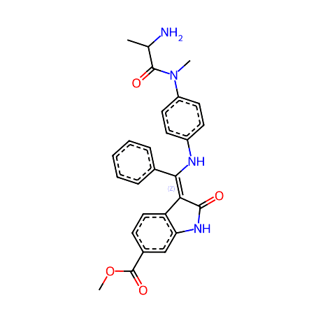 COC(=O)c1ccc2c(c1)NC(=O)/C2=C(\Nc1ccc(N(C)C(=O)C(C)N)cc1)c1ccccc1